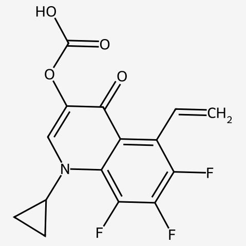 C=Cc1c(F)c(F)c(F)c2c1c(=O)c(OC(=O)O)cn2C1CC1